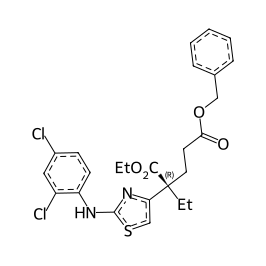 CCOC(=O)[C@](CC)(CCC(=O)OCc1ccccc1)c1csc(Nc2ccc(Cl)cc2Cl)n1